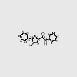 Cc1cc(C(=O)Nc2cccnc2)sc1-c1ccccc1